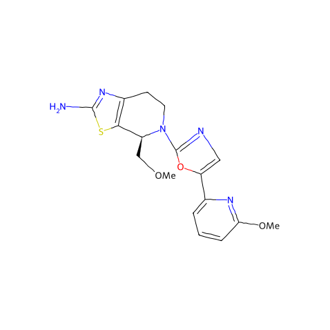 COC[C@H]1c2sc(N)nc2CCN1c1ncc(-c2cccc(OC)n2)o1